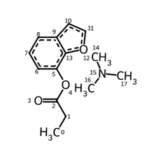 CCC(=O)Oc1cccc2ccoc12.CN(C)C